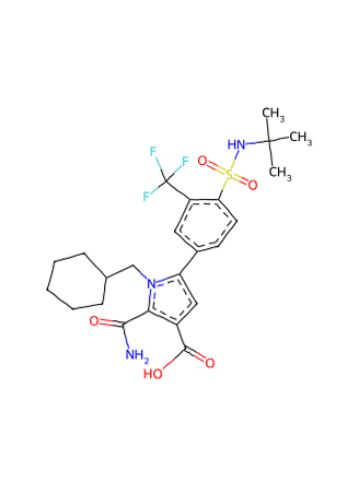 CC(C)(C)NS(=O)(=O)c1ccc(-c2cc(C(=O)O)c(C(N)=O)n2CC2CCCCC2)cc1C(F)(F)F